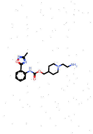 Cc1noc(-c2ccccc2NC(=O)OCC2CCN(CCN)CC2)n1